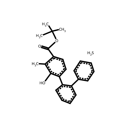 Cc1c(C(=O)OC(C)(C)C)ccc(-c2ccccc2-c2ccccc2)c1O.S